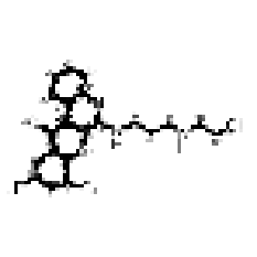 O=c1c2cc(F)cc(F)c2sc2c(NCCCNCCO)nc3ccccc3c12